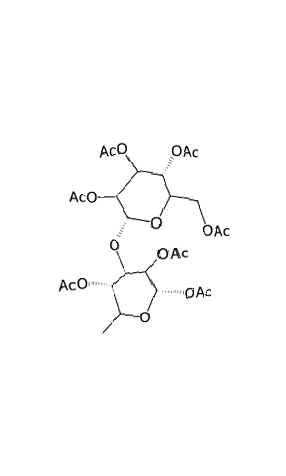 CC(=O)OCC1O[C@H](OC2C(OC(C)=O)[C@H](OC(C)=O)OC(C)[C@@H]2OC(C)=O)C(OC(C)=O)C(OC(C)=O)[C@@H]1OC(C)=O